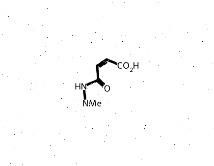 CNNC(=O)/C=C\C(=O)O